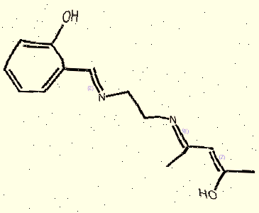 C/C(O)=C/C(C)=N/CC/N=C/c1ccccc1O